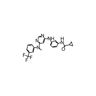 CN(c1cccc(C(F)(F)F)c1)c1cc(Nc2cccc(NC(=O)C3CC3)c2)ncn1